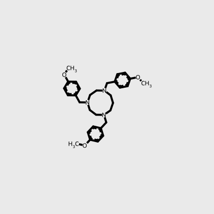 COc1ccc(CN2CCCN(Cc3ccc(OC)cc3)CCN(Cc3ccc(OC)cc3)CC2)cc1